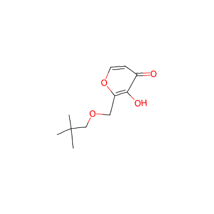 CC(C)(C)COCc1occc(=O)c1O